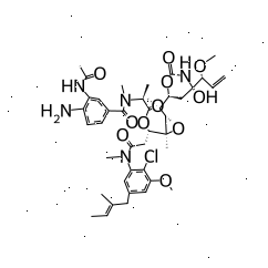 C=C[C@@H](OC)[C@@]1(O)C[C@@H]([C@@H](C)[C@@H]2O[C@@]2(C)[C@H](CC(=O)N(C)c2cc(C/C(C)=C/C)cc(OC)c2Cl)OC(=O)[C@H](C)N(C)C(=O)c2ccc(N)c(NC(C)=O)c2)OC(=O)N1